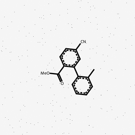 COC(=O)c1ccc(C#N)cc1-c1ccccc1C